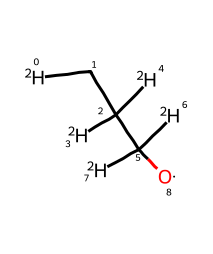 [2H]CC([2H])([2H])C([2H])([2H])[O]